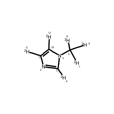 [2H]c1nc([2H])n(C([2H])([2H])[2H])c1[2H]